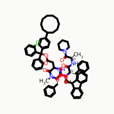 C[C@H](NC(=O)[C@H](Cc1ccccc1)N(C)C(=O)[C@H](Cc1ccccc1)N(C)C(=O)C(CC(=O)OC(c1ccccc1)(c1ccc(C2CCCCCCCCC2)cc1)c1ccccc1Cl)NC(=O)OCC1c2ccccc2-c2ccccc21)C(=O)N1CCCCC1